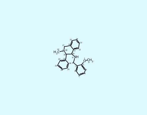 COc1ccccc1CNC1c2ccccc2CN(C)C1c1ccccc1